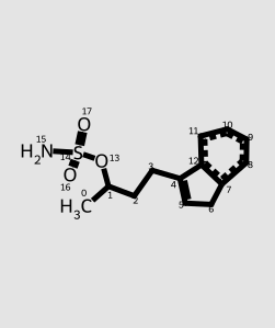 CC(CCC1=CCc2ccccc21)OS(N)(=O)=O